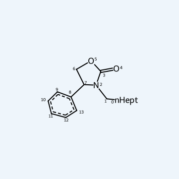 CCCCCCCCN1C(=O)OCC1c1ccccc1